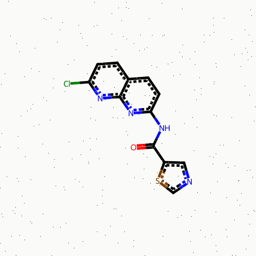 O=C(Nc1ccc2ccc(Cl)nc2n1)c1cncs1